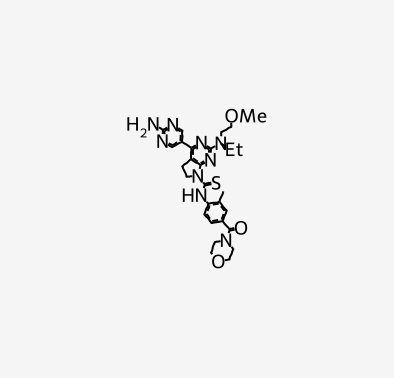 CCN(CCOC)c1nc(-c2cnc(N)nc2)c2c(n1)N(C(=S)Nc1ccc(C(=O)N3CCOCC3)cc1C)CC2